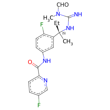 CC[C@](C)(NC(=N)N(C)C=O)c1cc(NC(=O)c2ccc(F)cn2)ccc1F